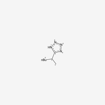 [CH2]CCCC(C)c1nnn[nH]1